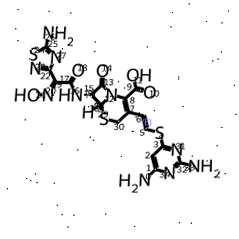 Nc1cc(S/C=C/C2=C(C(=O)O)N3C(=O)[C@@H](NC(=O)C(=NO)c4nsc(N)n4)[C@H]3SC2)nc(N)n1